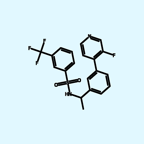 CC(NS(=O)(=O)c1cccc(C(F)(F)F)c1)c1cccc(-c2ccncc2F)c1